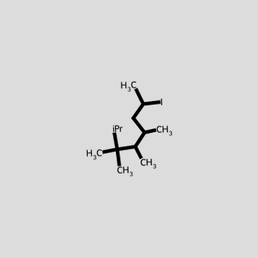 CC(I)CC(C)C(C)C(C)(C)C(C)C